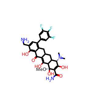 CO[C@@]1(O)C(C(N)=O)=C(O)[C@@H](N(C)C)C2CC3Cc4c(-c5cc(F)c(F)c(F)c5)cc(CN)c(O)c4C(=O)C3=C(O)C21